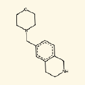 c1cc2c(cc1CN1CCOCC1)CCNC2